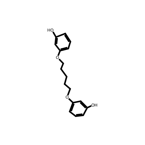 Oc1cccc(OCCCCCOc2cccc(O)c2)c1